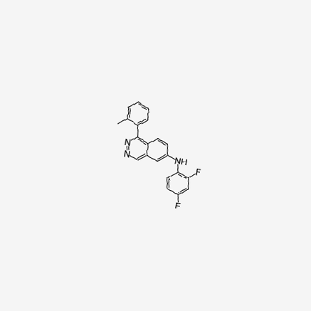 Cc1ccccc1-c1nncc2cc(Nc3ccc(F)cc3F)ccc12